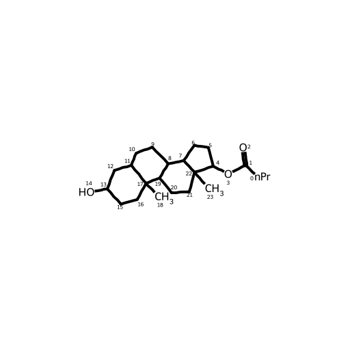 CCCC(=O)OC1CCC2C3CCC4CC(O)CCC4(C)C3CCC12C